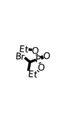 CCOP(=O)(OCC)C(C)Br